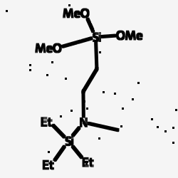 CC[Si](CC)(CC)N(C)CC[Si](OC)(OC)OC